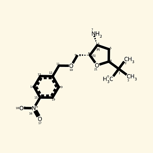 CC(C)(C)C1C[C@@H](N)[C@@H](COCc2ccc([N+](=O)[O-])cc2)O1